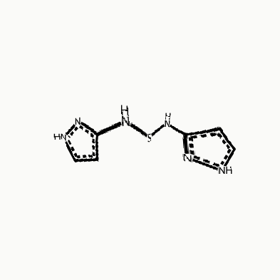 c1cc(NSNc2cc[nH]n2)n[nH]1